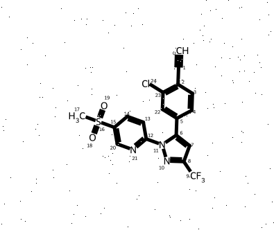 C#Cc1ccc(-c2cc(C(F)(F)F)nn2-c2ccc(S(C)(=O)=O)cn2)cc1Cl